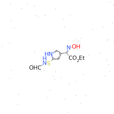 CCOC(=O)C(=NO)c1c[nH]c(SNC=O)c1